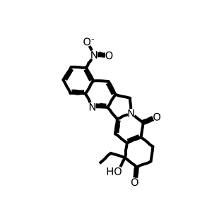 CCC1(O)C(=O)CCc2c1cc1n(c2=O)Cc2cc3c([N+](=O)[O-])cccc3nc2-1